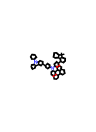 CC1(C)c2ccccc2-c2c(-c3ccc(N(c4ccc(-c5ccc6c(c5)c5ccccc5n6-c5ccccc5)cc4)c4ccccc4-c4cccc5cccc(C6CCCCC6)c45)cc3)cccc21